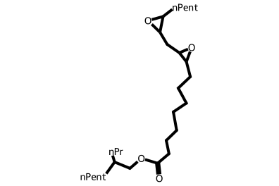 CCCCCC(CCC)COC(=O)CCCCCCCC1OC1CC1OC1CCCCC